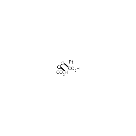 O=C(O)Cl.O=C(O)Cl.[Pt]